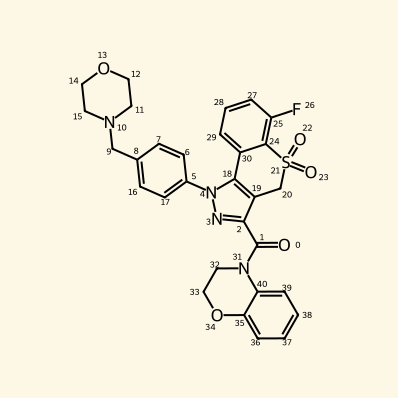 O=C(c1nn(-c2ccc(CN3CCOCC3)cc2)c2c1CS(=O)(=O)c1c(F)cccc1-2)N1CCOc2ccccc21